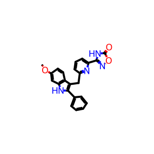 COc1ccc2c(Cc3cccc(-c4noc(=O)[nH]4)n3)c(-c3ccccc3)[nH]c2c1